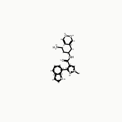 Cn1cc(C(=O)NC(CCN)CC2=COOC=C2)c(-c2cccc3ccsc23)n1